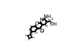 Nc1nc2oc3ccc(C4CCC4)cc3c(=O)c2cc1CO